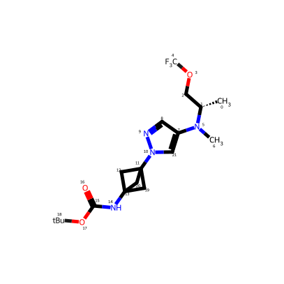 C[C@@H](COC(F)(F)F)N(C)c1cnn(C23CC(NC(=O)OC(C)(C)C)(C2)C3)c1